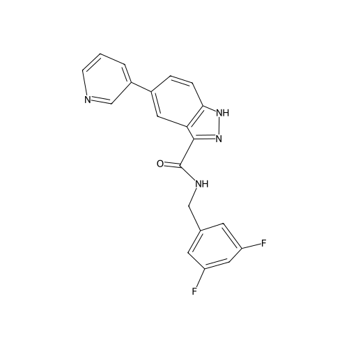 O=C(NCc1cc(F)cc(F)c1)c1n[nH]c2ccc(-c3cccnc3)cc12